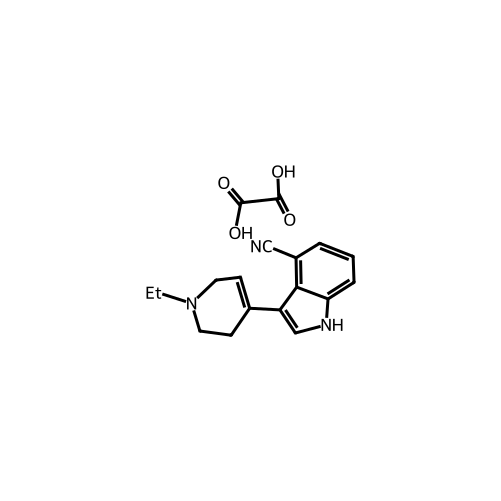 CCN1CC=C(c2c[nH]c3cccc(C#N)c23)CC1.O=C(O)C(=O)O